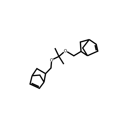 CC(C)(OCC1CC2C=CC1C2)OCC1CC2C=CC1C2